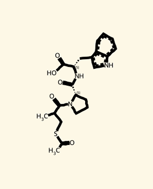 CC(=O)SCC(C)C(=O)N1CCC[C@H]1C(=O)N[C@@H](Cc1c[nH]c2ccccc12)C(=O)O